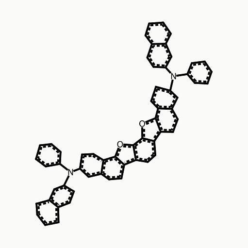 c1ccc(N(c2ccc3ccccc3c2)c2ccc3c(ccc4c5ccc6c7ccc8cc(N(c9ccccc9)c9ccc%10ccccc%10c9)ccc8c7oc6c5oc34)c2)cc1